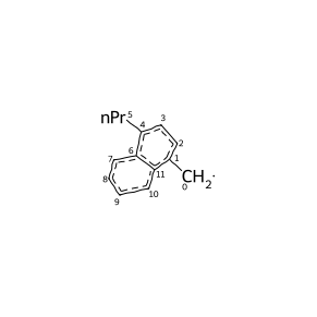 [CH2]c1ccc(CCC)c2ccccc12